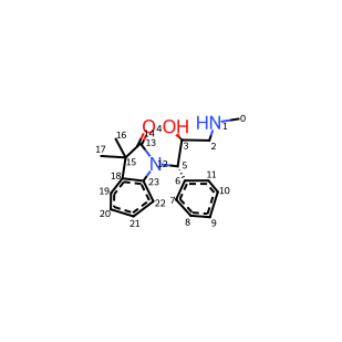 CNC[C@H](O)[C@H](c1ccccc1)N1C(=O)C(C)(C)c2ccccc21